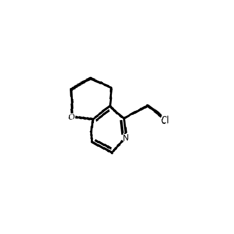 ClCc1nccc2c1CCCO2